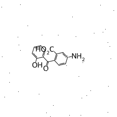 Nc1ccc(C(=O)c2ccccc2O)c(C(=O)O)c1